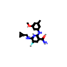 COc1cc(C)cc(Nc2nc(NCC3CC3)c(F)cc2C(N)=O)c1